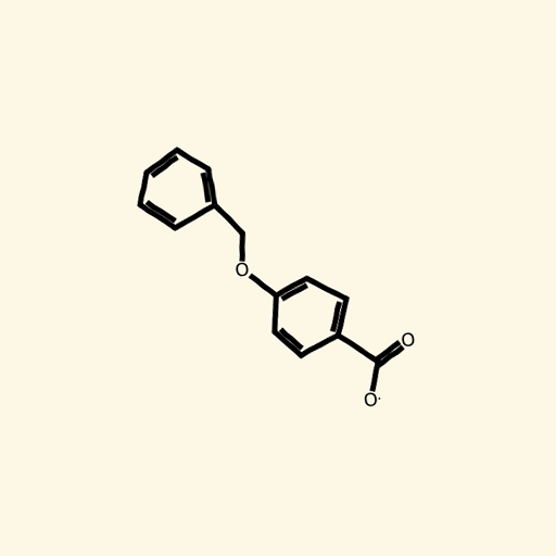 [O]C(=O)c1ccc(OCc2ccccc2)cc1